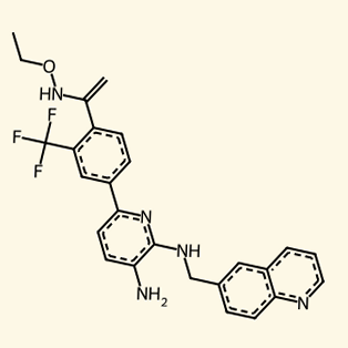 C=C(NOCC)c1ccc(-c2ccc(N)c(NCc3ccc4ncccc4c3)n2)cc1C(F)(F)F